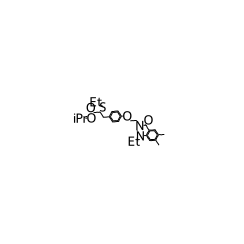 CCSC(Cc1ccc(OCCN2CN(CC)c3cc(C)c(C)cc3C2=O)cc1)C(=O)OC(C)C